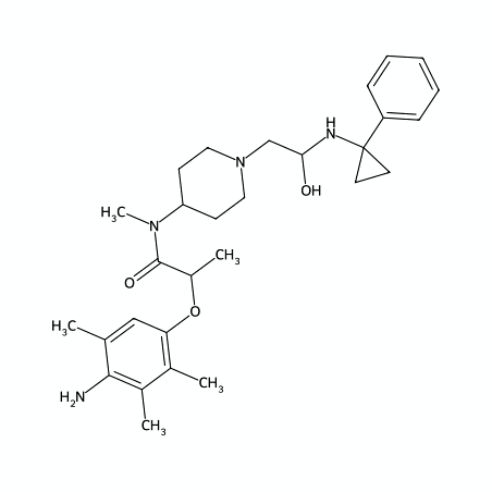 Cc1cc(OC(C)C(=O)N(C)C2CCN(CC(O)NC3(c4ccccc4)CC3)CC2)c(C)c(C)c1N